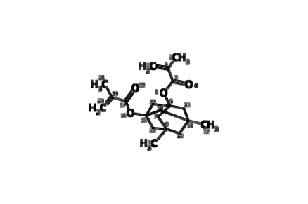 C=C(C)C(=O)OC12CC3(C)CC(C)(C1)CC(OC(=O)C(=C)C)(C3)C2